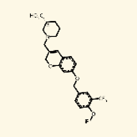 CC(C)Oc1ccc(COc2ccc3c(c2)OCC(CN2CCC[C@@H](C(=O)O)C2)=C3)cc1C(F)(F)F